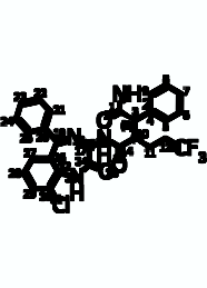 NC(=O)[C@@H](c1ccccc1)[C@@H](CCC(F)(F)F)C(=O)N[C@H]1N=C(c2ccccc2)c2cccc(Cl)c2NC1=O